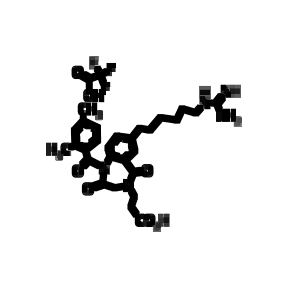 Cc1ccc(C(=O)N2C(=O)CN(CCC(=O)O)C(=O)c3cc(CCCCCCNC(=N)N)ccc32)c(C)c1.O=C(O)C(F)(F)F